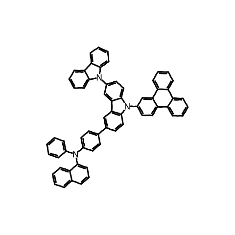 c1ccc(N(c2ccc(-c3ccc4c(c3)c3cc(-n5c6ccccc6c6ccccc65)ccc3n4-c3ccc4c5ccccc5c5ccccc5c4c3)cc2)c2cccc3ccccc23)cc1